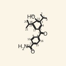 CC(C)c1cc(C(=O)c2ccc(C(N)=O)cc2)cc(C(C)C)c1O